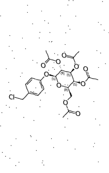 CC(=O)OC[C@H]1O[C@@H](Oc2ccc(CCl)cc2)[C@H](OC(C)=O)[C@@H](OC(C)=O)[C@H]1OC(C)=O